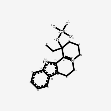 CCC1(O[Cl+3]([O-])([O-])[O-])CCC[N+]2=C1c1[nH]c3ccccc3c1CC2